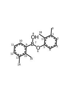 Cc1cccc(OB(O)c2cccc(C)c2C)c1C